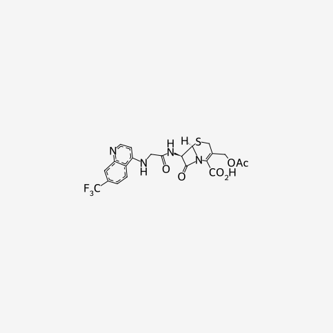 CC(=O)OCC1=C(C(=O)O)N2C(=O)[C@@H](NC(=O)CNc3ccnc4cc(C(F)(F)F)ccc34)[C@H]2SC1